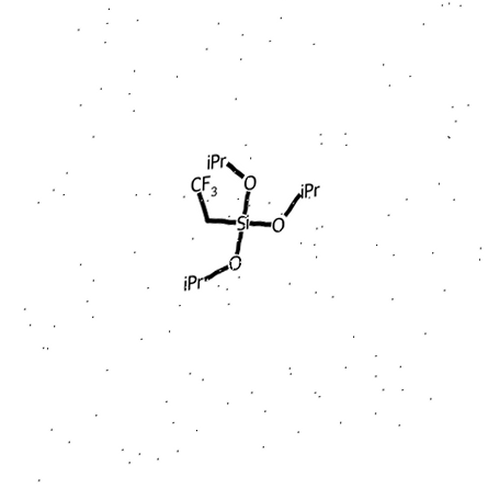 CC(C)O[Si](CC(F)(F)F)(OC(C)C)OC(C)C